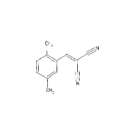 Cc1ccc(C)c(C=C(C#N)C#N)c1